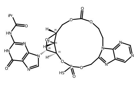 CC(C)C(=O)Nc1nc2c(ncn2[C@@H]2O[C@@H]3COC(=O)OCCn4c(nc5cncnc54)COP(=O)(S)O[C@@H]2[C@@H]3F)c(=O)[nH]1